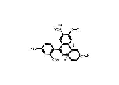 Br.CCOc1cc2c(cc1OC)C(c1cnc(OC)nc1OC)=N[C@@H]1CC[C@@H](O)C[C@H]21